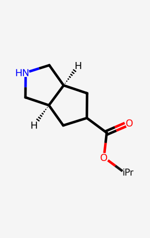 CC(C)OC(=O)C1C[C@H]2CNC[C@H]2C1